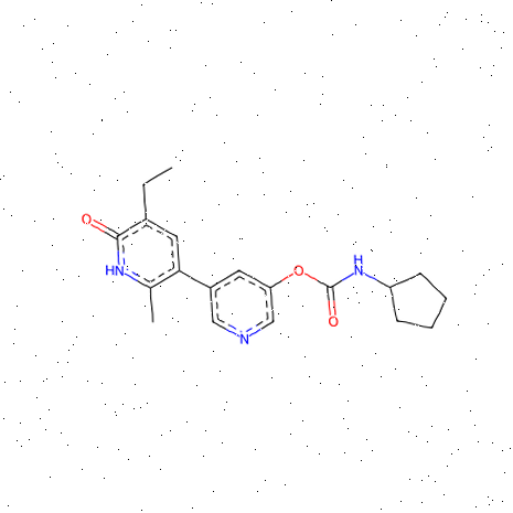 CCc1cc(-c2cncc(OC(=O)NC3CCCC3)c2)c(C)[nH]c1=O